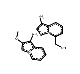 COc1nn2ccccc2c1N.Nc1cnn2c(CO)cccc12